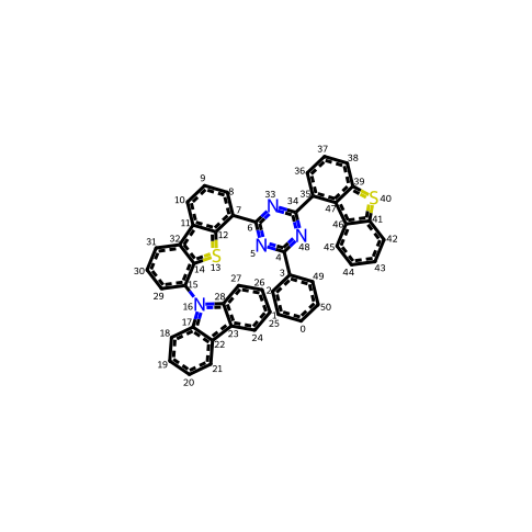 c1ccc(-c2nc(-c3cccc4c3sc3c(-n5c6ccccc6c6ccccc65)cccc34)nc(-c3cccc4sc5ccccc5c34)n2)cc1